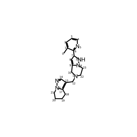 Cc1cccnc1C1C=C2CN(Cc3cnn4c3CCCC4)CCN2N1